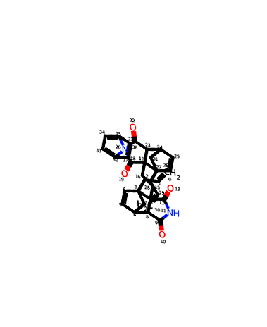 C=CCC12C=CC(C1)C1C(=O)NC(=O)C12CCC12C(=O)[N+]3(C(=O)C1C1C=CC2(CC=C)C1)C1=CC=C3C=C1